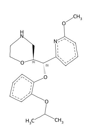 COc1cccc([C@H](Oc2ccccc2OC(C)C)[C@@H]2CNCCO2)n1